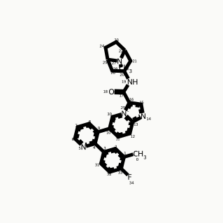 Cc1cc(-c2ncccc2-c2ccc3ncc(C(=O)NC4CC5CCC(C4)N5C)n3c2)ccc1F